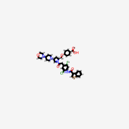 O=C(Nc1cc(F)c(CC(=O)N2C[C@@H](N3CCC(N4CCOCC4)CC3)C[C@H]2CO[C@H]2CC[C@H](C(=O)O)CC2)cc1Cl)c1csc2ccccc12